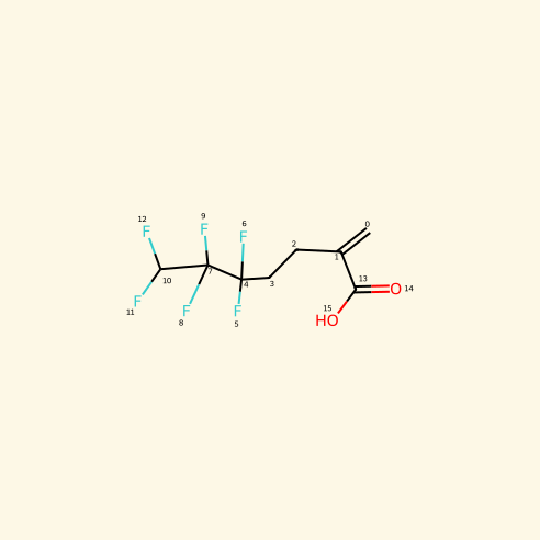 C=C(CCC(F)(F)C(F)(F)C(F)F)C(=O)O